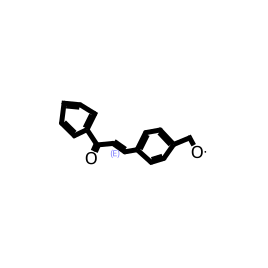 [O]Cc1ccc(/C=C/C(=O)c2ccccc2)cc1